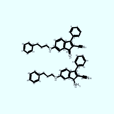 N#CC1=C(c2ccccc2)c2ccc(OCCCc3ccccc3)cc2C1=O.N#CC1=C(c2ccccc2)c2ccc(OCCCc3ccccc3)cc2C1N